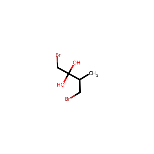 CC(CBr)C(O)(O)CBr